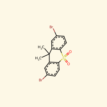 CC1(C)c2cc(Br)ccc2S(=O)(=O)c2ccc(Br)cc21